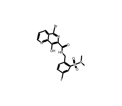 CN(C)S(=O)(=O)c1cc(F)ccc1CNC(=O)c1nc(Br)c2cccnc2c1O